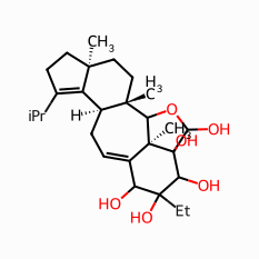 CCC1(O)C(O)C2=CC[C@H]3C4=C(C(C)C)CC[C@@]4(C)CC[C@]3(C)C3OC(O)C(O)(C1O)[C@@]23C